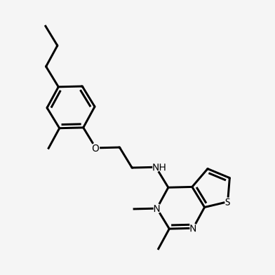 CCCc1ccc(OCCNC2c3ccsc3N=C(C)N2C)c(C)c1